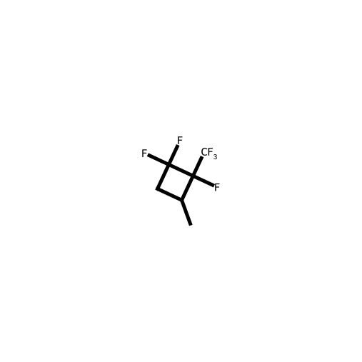 CC1CC(F)(F)C1(F)C(F)(F)F